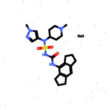 CN1CCC(N(c2cnn(C)c2)S(=O)(=O)NC(=O)Nc2c3c(cc4c2CCC4)CCC3)CC1.[NaH]